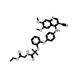 CCOC(=O)CNC(=O)C(C)(C)Oc1ccccc1Oc1ccc(Nc2c(C#N)cnc3cc(OC)c(OC)cc23)cc1